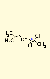 C/C(Cl)=C(\Cl)COCC(C)C